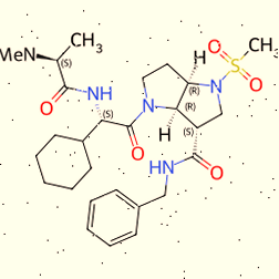 CN[C@@H](C)C(=O)N[C@H](C(=O)N1CC[C@@H]2[C@H]1[C@@H](C(=O)NCc1ccccc1)CN2S(C)(=O)=O)C1CCCCC1